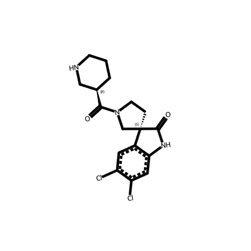 O=C([C@@H]1CCCNC1)N1CC[C@]2(C1)C(=O)Nc1cc(Cl)c(Cl)cc12